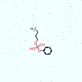 CCCCO[Si](O)(O)Oc1ccccc1